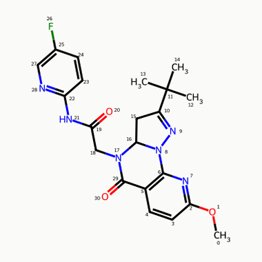 COc1ccc2c(n1)N1N=C(C(C)(C)C)CC1N(CC(=O)Nc1ccc(F)cn1)C2=O